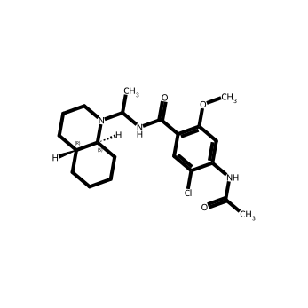 COc1cc(NC(C)=O)c(Cl)cc1C(=O)NC(C)N1CCC[C@H]2CCCC[C@@H]21